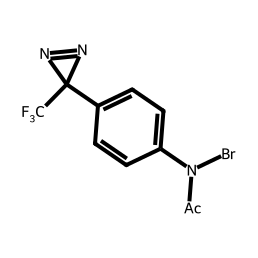 CC(=O)N(Br)c1ccc(C2(C(F)(F)F)N=N2)cc1